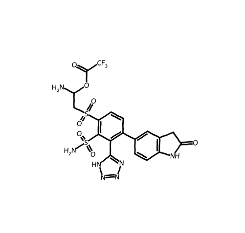 NC(CS(=O)(=O)c1ccc(-c2ccc3c(c2)CC(=O)N3)c(-c2nnn[nH]2)c1S(N)(=O)=O)OC(=O)C(F)(F)F